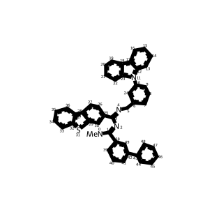 CN/C(=N\C(=N/Cc1cccc(-n2c3ccccc3c3ccccc32)c1)c1ccc2c(c1)sc1ccccc12)c1cccc(-c2ccccc2)c1